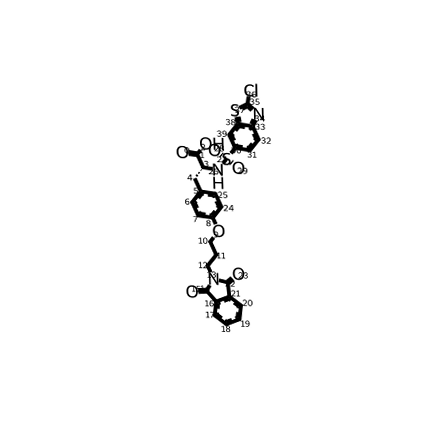 O=C(O)[C@@H](Cc1ccc(OCCCN2C(=O)c3ccccc3C2=O)cc1)NS(=O)(=O)c1ccc2nc(Cl)sc2c1